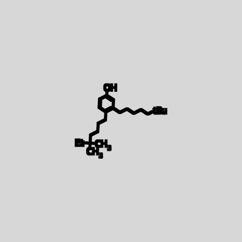 CCC(C)(C)CCCCc1ccc(O)cc1CCCCCC(C)(C)C